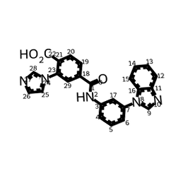 O=C(Nc1cccc(-n2cnc3ccccc32)c1)c1ccc(C(=O)O)c(-n2ccnc2)c1